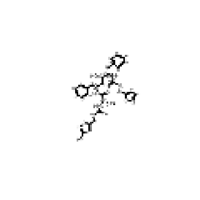 CC(C)c1cc(COC(=O)N[C@H](C(=O)N[C@@H](Cc2ccccc2)C[C@H](O)[C@H](Cc2ccccc2)NC(=O)OCc2ccno2)C(C)C)on1